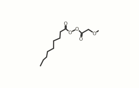 CCCCCCCCC(=O)OOC(=O)COC